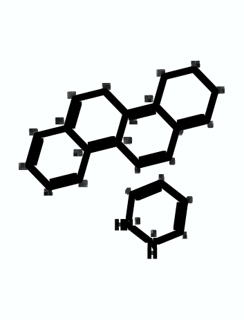 C1=CNNC=C1.C1=c2ccc3c(c2CCC1)CC=c1ccccc1=3